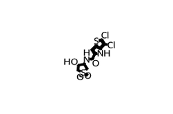 O=C(NC1CS(=O)(=O)CC1O)c1cc2sc(Cl)c(Cl)c2[nH]1